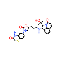 CC(C)(O)[C@@H]1[C@@H](NCCC[C@@H]2CN(c3ccc4c(c3)NC(=O)CS4)C(=O)O2)c2cccc3ccc(=O)n1c23